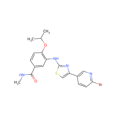 CNC(=O)c1ccc(OC(C)C)c(Nc2nc(-c3ccc(Br)nc3)cs2)c1